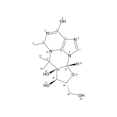 CC1N=C(O)c2ncn3c2N1C(C)(C)[C@@]1(O)[C@H](O)[C@@H](CO)O[C@@H]31